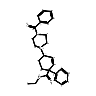 CCOC(=O)C1(c2ccccc2)C=CC(N2CCN(C(=O)c3ccccc3)CC2)CC1